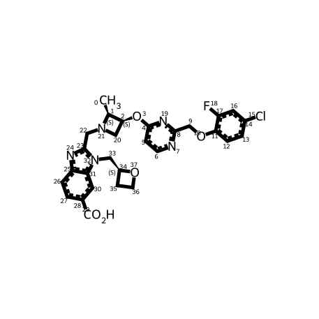 C[C@H]1[C@@H](Oc2ccnc(COc3ccc(Cl)cc3F)n2)CN1Cc1nc2ccc(C(=O)O)cc2n1C[C@@H]1CCO1